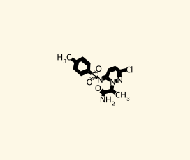 Cc1ccc(S(=O)(=O)/N=c2\ccc(Cl)nn2C(C)C(N)=O)cc1